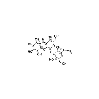 CO[C@@H]1OC(CO)[C@H](O)[C@H](O[C@@H]2OC(CO)[C@H](O)[C@H](O)C2O[C@@H]2OC(C)[C@@H](O)C(O)[C@@H]2O)C1C